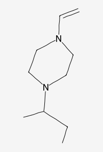 C=CN1CCN(C(C)CC)CC1